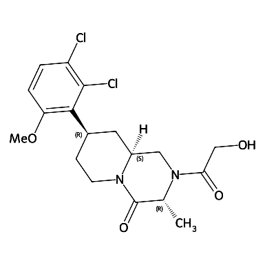 COc1ccc(Cl)c(Cl)c1[C@@H]1CCN2C(=O)[C@@H](C)N(C(=O)CO)C[C@@H]2C1